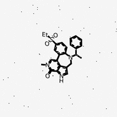 CCS(=O)(=O)c1ccc2c(c1)-c1cn(C)c(=O)c3[nH]cc(c13)CN2C(C)c1ccccc1